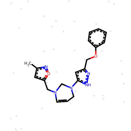 Cc1cc(CN2C=CCN(c3cc(COc4ccccc4)n[nH]3)C2)on1